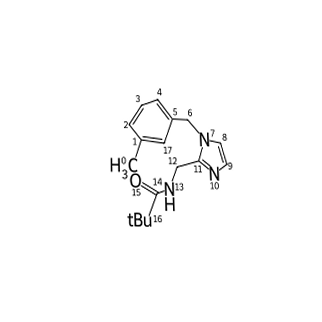 Cc1cccc(Cn2ccnc2CNC(=O)C(C)(C)C)c1